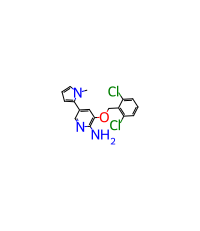 Cn1cccc1-c1cnc(N)c(OCc2c(Cl)cccc2Cl)c1